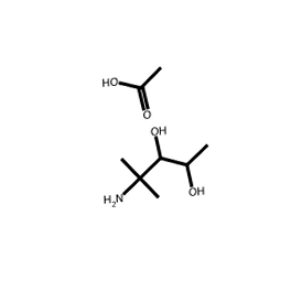 CC(=O)O.CC(O)C(O)C(C)(C)N